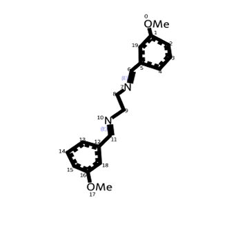 COc1cccc(/C=N/CC/N=C/c2cccc(OC)c2)c1